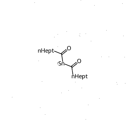 CCCCCCC[C](=O)[Sn][C](=O)CCCCCCC